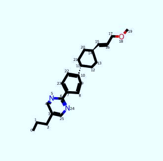 CCCc1cnc(-c2ccc([C@H]3CC[C@H](C=CCOC)CC3)cc2)nc1